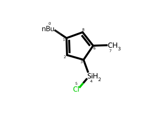 CCCCC1=CC([SiH2]Cl)C(C)=C1